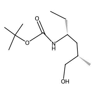 CC[C@H](C[C@H](C)CO)NC(=O)OC(C)(C)C